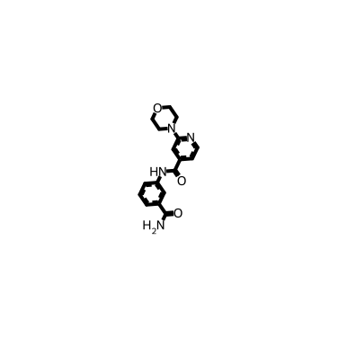 NC(=O)c1cccc(NC(=O)c2ccnc(N3CCOCC3)c2)c1